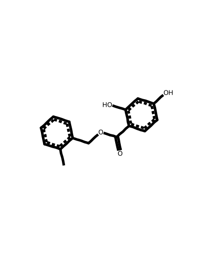 Cc1ccccc1COC(=O)c1ccc(O)cc1O